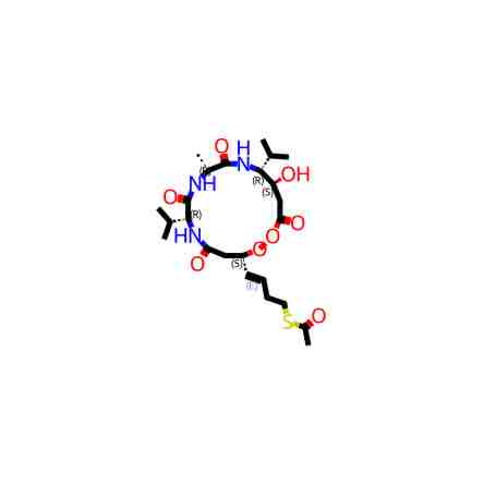 CC(=O)SCC/C=C/[C@@H]1CC(=O)N[C@H](C(C)C)C(=O)N[C@H](C)C(=O)N[C@H](C(C)C)[C@@H](O)CC(=O)OO1